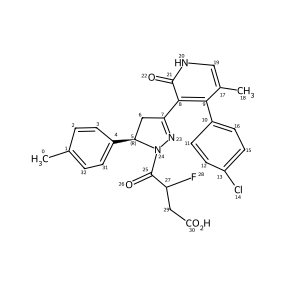 Cc1ccc([C@H]2CC(c3c(-c4ccc(Cl)cc4)c(C)c[nH]c3=O)=NN2C(=O)C(F)CC(=O)O)cc1